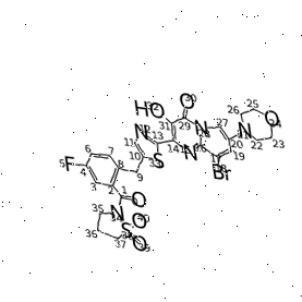 O=C(c1cc(F)ccc1Cc1cnc(-c2nc3c(Br)cc(N4CCOCC4)cn3c(=O)c2O)s1)N1CCCS1(=O)=O